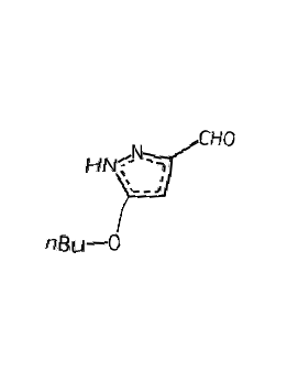 CCCCOc1cc(C=O)n[nH]1